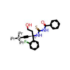 CC(C)[Si](C#C[C@@](CCO)(NC(=S)NC(=O)c1ccccc1)c1ccccc1F)(C(C)C)C(C)C